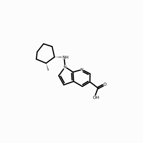 C[C@@H]1CCCC[C@@H]1Nn1ccc2cc(C(=O)O)cnc21